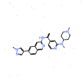 C=C(Nc1cc2cc(-c3cnn(C)c3)ccc2cn1)c1ccnc(N(C)C2CCN(C)CC2)c1